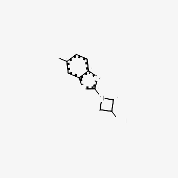 CC1CN(c2nc3ccc(O)cc3o2)C1